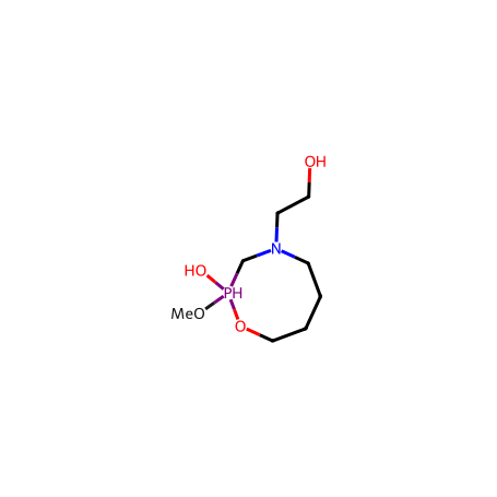 CO[PH]1(O)CN(CCO)CCCCO1